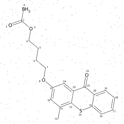 BC(=O)OCCCCOc1cc(C)c2sc3ccccc3c(=O)c2c1